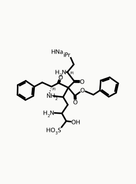 CC(C)C[C@@H](N)C(=O)C(C(=O)OCc1ccccc1)(C(=O)[C@H](N)Cc1ccccc1)C(C)CC(N)C(O)S(=O)(=O)O.[NaH]